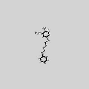 Nc1ccc(OCCCCOc2ccccc2)cc1N